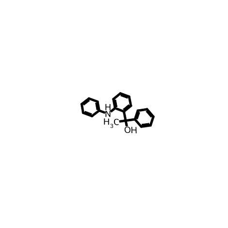 CC(O)(c1ccccc1)c1ccccc1Nc1ccccc1